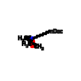 C=CC(=O)OC(C)c1cc(C)cc[n+]1CCCCCCCCCCCCCCCCCCCCCC